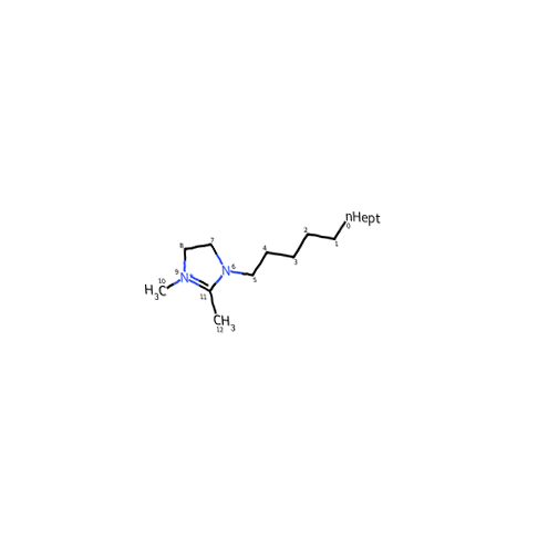 CCCCCCCCCCCCN1CC[N+](C)=C1C